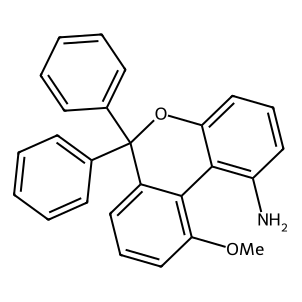 COc1cccc2c1-c1c(N)cccc1OC2(c1ccccc1)c1ccccc1